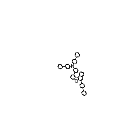 c1ccc(-c2ccc(-c3cc4ccccc4c4c3oc3cccc(-c5cccc(N(c6ccc(-c7ccccc7)cc6)c6ccc(-c7ccccc7)cc6)c5)c34)cc2)cc1